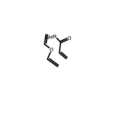 C=CC(=O)NC.C=COC=C